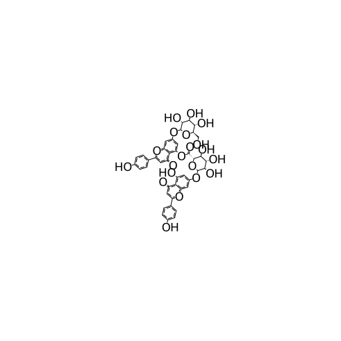 O=C(Oc1cc(OC2O[C@H](CO)[C@@H](O)[C@H](O)[C@H]2O)cc2oc(-c3ccc(O)cc3)cc(=O)c12)[C@H]1OC(Oc2cc(O)c3c(=O)cc(-c4ccc(O)cc4)oc3c2)[C@H](O)[C@@H](O)[C@@H]1O